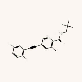 Cc1cc(C#Cc2cc(F)ccc2F)cnc1C(=O)NCC(C)(C)C